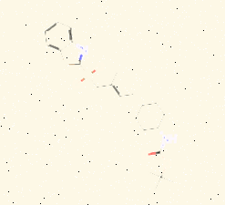 C/C(=C\C[C@H]1CC[C@@H](NC(=O)OC(C)(C)C)CC1)CS(=O)(=O)c1nc2ccccc2s1